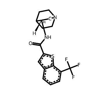 O=C(N[C@H]1CN2CCC1CC2)c1cc2cccc(C(F)(F)F)c2s1